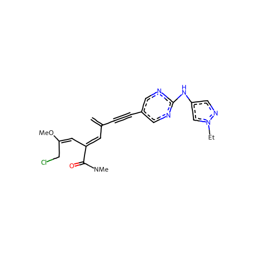 C=C(C#Cc1cnc(Nc2cnn(CC)c2)nc1)/C=C(\C=C(/CCl)OC)C(=O)NC